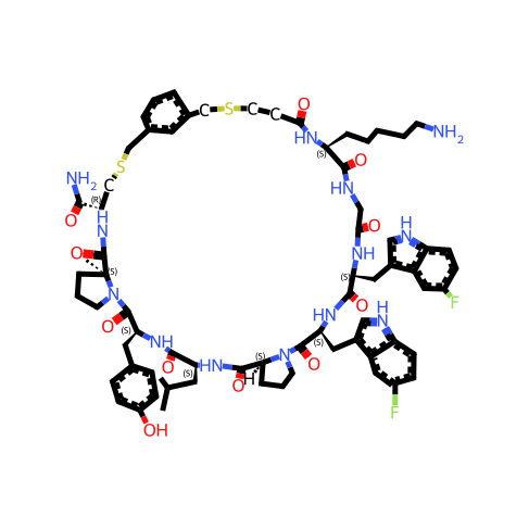 CC(C)C[C@@H]1NC(=O)[C@@H]2CCCN2C(=O)[C@H](Cc2c[nH]c3ccc(F)cc23)NC(=O)[C@H](Cc2c[nH]c3ccc(F)cc23)NC(=O)CNC(=O)[C@H](CCCCCN)NC(=O)CCSCc2cccc(c2)CSC[C@@H](C(N)=O)NC(=O)[C@]2(C)CCCN2C(=O)[C@H](Cc2ccc(O)cc2)NC1=O